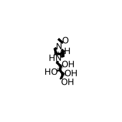 CC(=O)N1C[C@@H]2C[C@H]1CN2C[C@H](O)[C@H](O)[C@H](O)CO